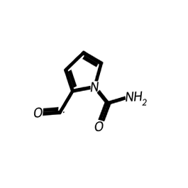 NC(=O)n1cccc1[C]=O